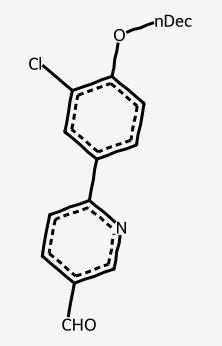 CCCCCCCCCCOc1ccc(-c2ccc(C=O)cn2)cc1Cl